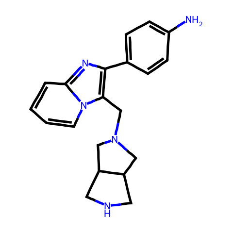 Nc1ccc(-c2nc3ccccn3c2CN2CC3CNCC3C2)cc1